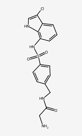 NCC(=O)NCc1ccc(S(=O)(=O)Nc2cccc3c(Cl)c[nH]c23)cc1